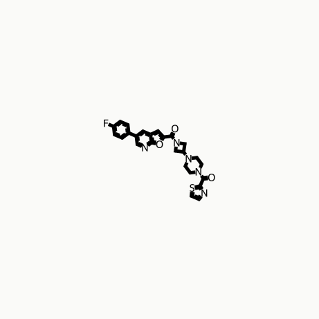 O=C(c1cc2cc(-c3ccc(F)cc3)cnc2o1)N1CC(N2CCN(C(=O)c3nccs3)CC2)C1